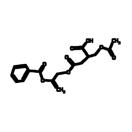 C=C(COC(=O)CC(COC(C)=O)C(=O)O)OC(=O)c1ccccc1